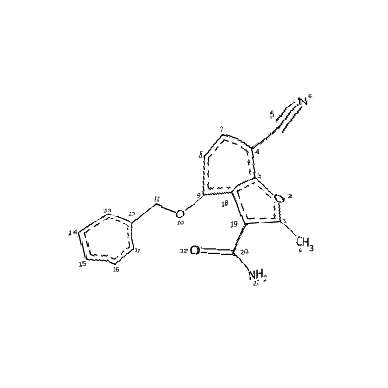 Cc1oc2c(C#N)ccc(OCc3ccccc3)c2c1C(N)=O